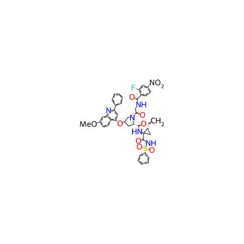 C=C[C@@H]1C[C@]1(NC(=O)[C@@H]1C[C@@H](Oc2cc(-c3ccccc3)nc3cc(OC)ccc23)CN1C(=O)CNC(=O)c1ccc([N+](=O)[O-])cc1F)C(=O)NS(=O)(=O)c1ccccc1